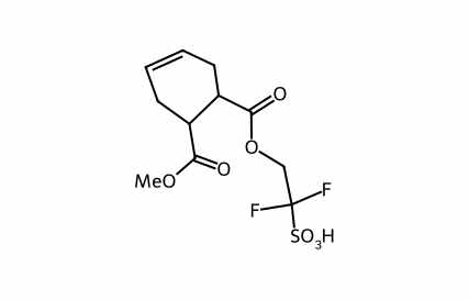 COC(=O)C1CC=CCC1C(=O)OCC(F)(F)S(=O)(=O)O